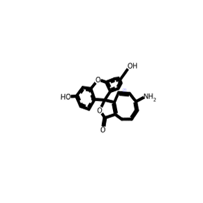 NC1=C=CCC2=C(/C=C\1)C1(OC2=O)c2ccc(O)cc2Oc2cc(O)ccc21